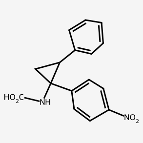 O=C(O)NC1(c2ccc([N+](=O)[O-])cc2)CC1c1ccccc1